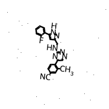 Cc1cc(C#N)ccc1-c1cnnc(NCc2cc(-c3ccccc3F)[nH]n2)n1